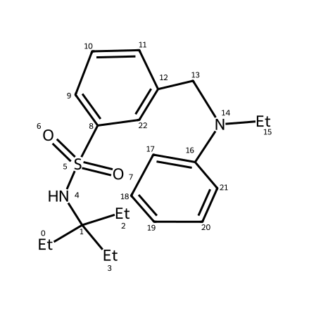 [CH2]CC(CC)(CC)NS(=O)(=O)c1cccc(CN(CC)c2ccccc2)c1